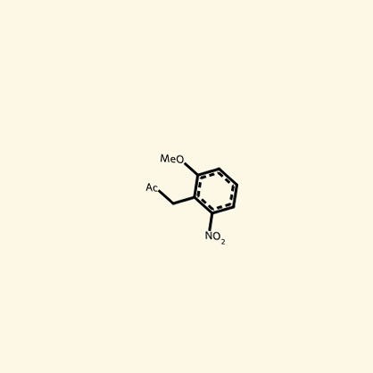 COc1cccc([N+](=O)[O-])c1CC(C)=O